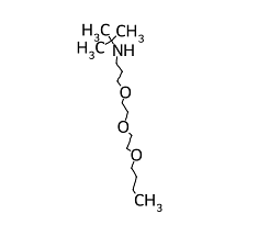 CCCCOCCOCCOCCCNC(C)(C)C